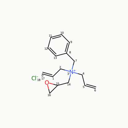 C=CC[N+](CC=C)(Cc1ccccc1)CC1CO1.[Cl-]